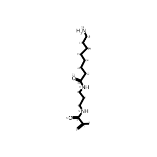 C=C(C)C(=O)NCCCNC(=O)CCCCCCCN